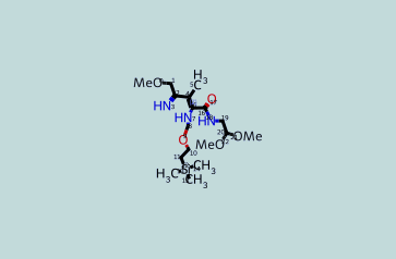 COCC(=N)/C(C)=C(\NCOCC[Si](C)(C)C)C(=O)NCC(OC)OC